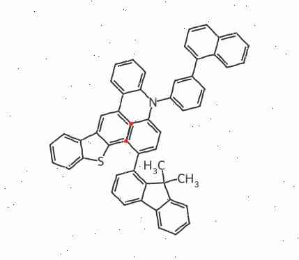 CC1(C)c2ccccc2-c2cccc(-c3ccc(N(c4cccc(-c5cccc6ccccc56)c4)c4ccccc4-c4ccc5sc6ccccc6c5c4)cc3)c21